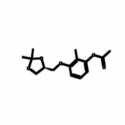 CC(=O)Oc1cccc(OC[C@@H]2COC(C)(C)O2)c1C